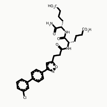 NC(=O)[C@H](CCCC(=O)O)NC(=O)[C@H](CCCC(=O)O)NC(=O)CCc1cc(-c2ccc(-c3cccc(Cl)c3)cc2)no1